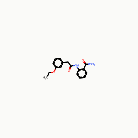 CCOc1cccc(CC(=O)Nc2ccccc2C(N)=O)c1